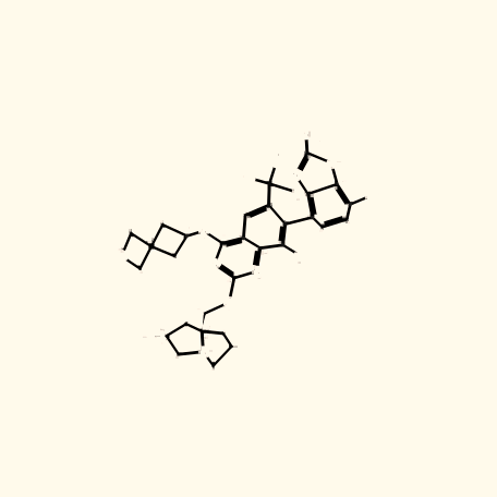 Nc1nc2c(-c3c(C(F)(F)F)cc4c(NC5CC6(COC6)C5)nc(OC[C@@]56CCCN5C[C@H](F)C6)nc4c3F)ccc(F)c2s1